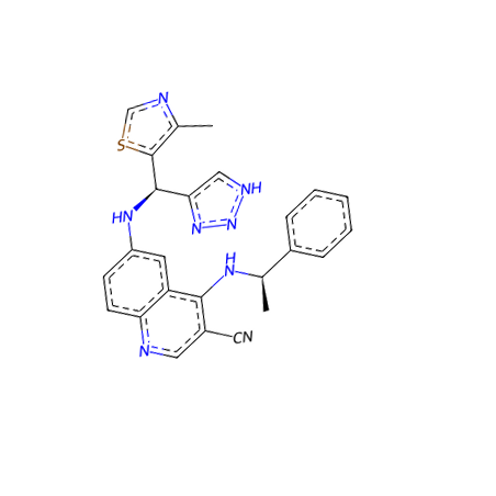 Cc1ncsc1[C@H](Nc1ccc2ncc(C#N)c(N[C@H](C)c3ccccc3)c2c1)c1c[nH]nn1